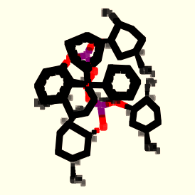 CC(C)C1CC[C@@H](C)C[C@H]1OP(Oc1ccccc1C(OP(O[C@@H]1C[C@H](C)CC[C@H]1C(C)C)O[C@@H]1C[C@H](C)CC[C@H]1C(C)C)(c1ccccc1)c1ccccc1)O[C@@H]1C[C@H](C)CC[C@H]1C(C)C